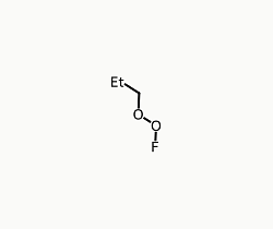 CCCOOF